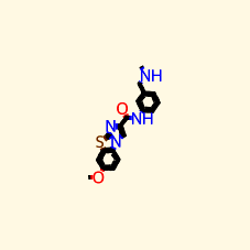 CNCc1cccc(NC(=O)c2cn3c(n2)sc2cc(OC)ccc23)c1